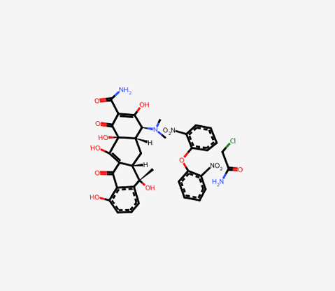 CN(C)[C@@H]1C(O)=C(C(N)=O)C(=O)[C@@]2(O)C(O)=C3C(=O)c4c(O)cccc4[C@@](C)(O)[C@H]3C[C@@H]12.NC(=O)CCl.O=[N+]([O-])c1ccccc1Oc1ccccc1[N+](=O)[O-]